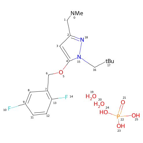 CNCc1cc(OCc2cc(F)ccc2F)n(CC(C)(C)C)n1.O.O.O=P(O)(O)O